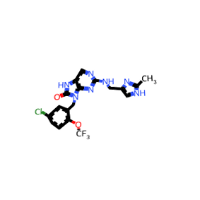 Cc1nc(CNc2ncc3[nH]c(=O)n(Cc4cc(Cl)ccc4OC(F)(F)F)c3n2)c[nH]1